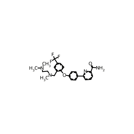 CN(C)CCN(C)Cc1cc(C(F)(F)F)ccc1Oc1ccc(-c2cccc(C(N)=O)n2)cc1